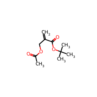 C=C(COC(C)=O)C(=O)OC(C)(C)C